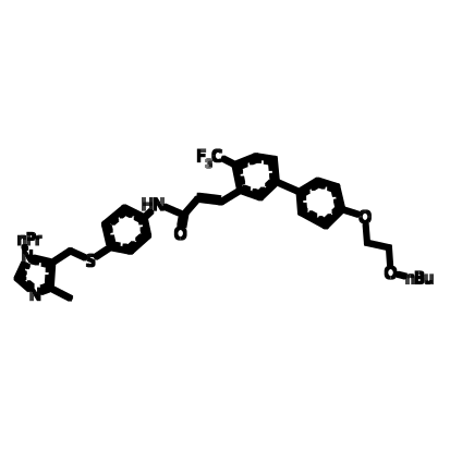 CCCCOCCOc1ccc(-c2ccc(C(F)(F)F)c(/C=C/C(=O)Nc3ccc(SCc4c(C)ncn4CCC)cc3)c2)cc1